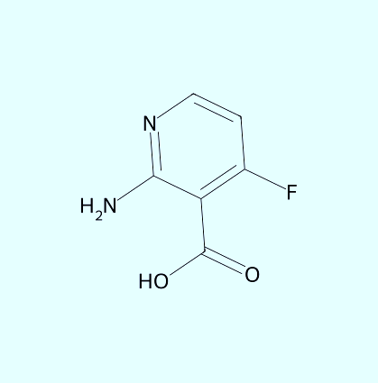 Nc1nccc(F)c1C(=O)O